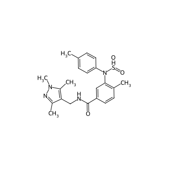 Cc1ccc(N(c2cc(C(=O)NCc3c(C)nn(C)c3C)ccc2C)[SH](=O)=O)cc1